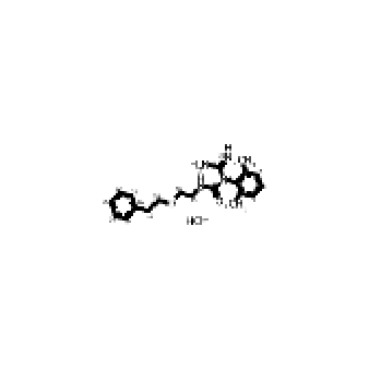 Cc1cccc(C)c1N(C(=N)N)C(=O)NCCOCCc1ccccc1.Cl